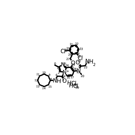 CC1=C[N+]2(C(=O)CNC3CCCCCCC3)C=CC(N(C)C(=O)CN)=C(OCc3c(Cl)cccc3Cl)C2=N1.Cl.Cl